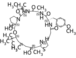 CC[C@H](C)[C@@H]1NC(=O)[C@H](C)NC(=O)[C@H](Cc2ccc(OC)cc2)NC(=O)CC[C@H]2CSC(=N2)[C@H](C)[C@@H](O)C[C@H](C)C[C@@H](C(C)(C)C)OC(O)[C@@H]2CCCN2C1=O